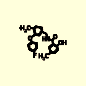 [CH2]c1ccc(CNC(=O)c2cc(C)ccc2O)cc1Oc1ccc(F)cc1